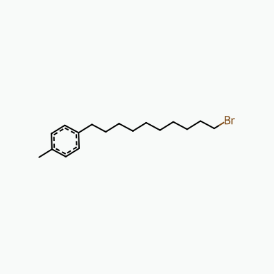 Cc1ccc(CCCCCCCCCCBr)cc1